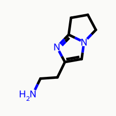 NCCc1cn2c(n1)CCC2